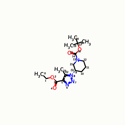 CCOC(=O)c1nnn([C@H]2CCCN(C(=O)OC(C)(C)C)C2)c1C